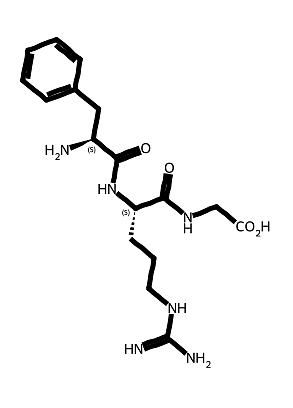 N=C(N)NCCC[C@H](NC(=O)[C@@H](N)Cc1ccccc1)C(=O)NCC(=O)O